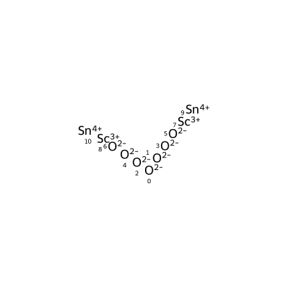 [O-2].[O-2].[O-2].[O-2].[O-2].[O-2].[O-2].[Sc+3].[Sc+3].[Sn+4].[Sn+4]